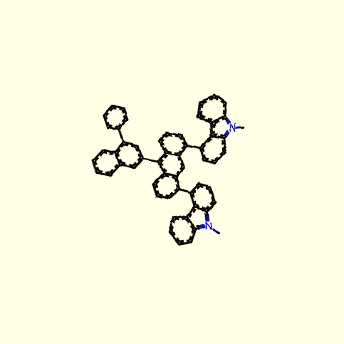 Cn1c2ccccc2c2c(-c3cccc4c(-c5cc(-c6ccccc6)c6ccccc6c5)c5cccc(-c6cccc7c6c6ccccc6n7C)c5cc34)cccc21